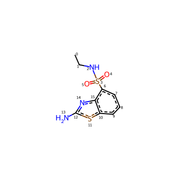 CCNS(=O)(=O)c1cccc2sc(N)nc12